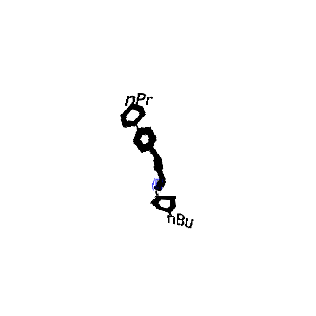 CCCC[C@H]1CC[C@H](/C=C/C#Cc2ccc([C@H]3CC[C@H](CCC)CC3)cc2)CC1